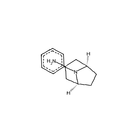 NC1C[C@H]2CC[C@@H](C1)N2c1ccccc1